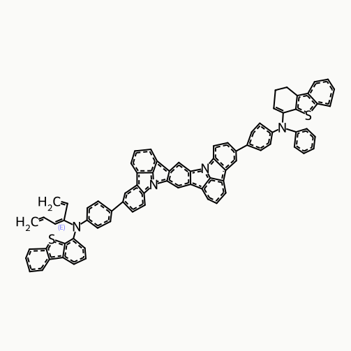 C=C/C=C(\C=C)N(c1ccc(-c2ccc3c(c2)c2cccc4c5cc6c(cc5n3c24)c2cccc3c4cc(-c5ccc(N(C7=CCCc8c7sc7ccccc87)c7ccccc7)cc5)ccc4n6c32)cc1)c1cccc2c1sc1ccccc12